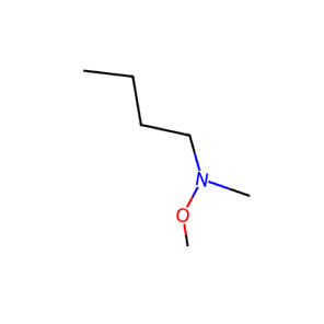 CCCCN(C)OC